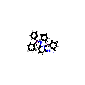 NC1C=CC=C(NP(c2ccccc2)c2ccccc2)N1P(c1ccccc1)c1ccccc1